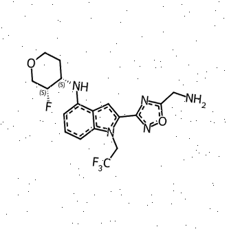 NCc1nc(-c2cc3c(N[C@H]4CCOC[C@H]4F)cccc3n2CC(F)(F)F)no1